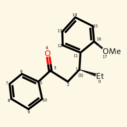 CC[C@@H](CC(=O)c1ccccc1)c1ccccc1OC